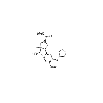 COC(=O)N1C[C@@H](c2ccc(OC)c(OC3CCCC3)c2)[C@](C)([C@H](C)O)C1